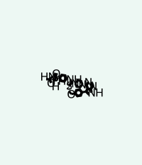 COc1ccc(-c2c[nH]c3ncnc(N4CCN(C(=S)Nc5ccc([SH](=O)(P)NC(C)=O)cc5)CC4)c23)cc1